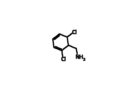 NCC1C(Cl)=CC=CC1Cl